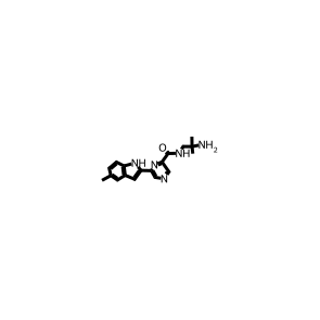 Cc1ccc2[nH]c(-c3cncc(C(=O)NCC(C)(C)N)n3)cc2c1